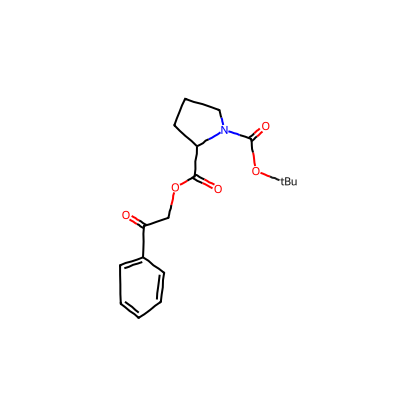 CC(C)(C)OC(=O)N1CCCC1C(=O)OCC(=O)c1ccccc1